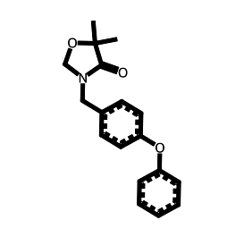 CC1(C)OCN(Cc2ccc(Oc3ccccc3)cc2)C1=O